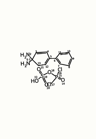 NC1(N)C=CC(c2ccccc2)=CC1.O=P(Cl)(Cl)OS(=O)(=O)O